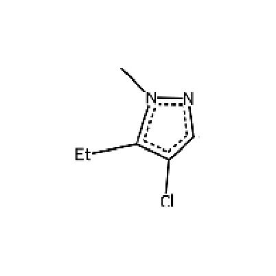 CCc1c(Cl)[c]nn1C